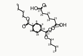 CCCCOC(=O)c1ccc(C(=O)OCCCC)cc1.O=C(O)CCCCC(=O)O